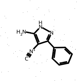 [C-]#[N+]c1c(-c2ccccc2)n[nH]c1N